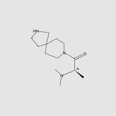 C[C@H](C(=O)N1CCC2(CCNC2)CC1)N(C)C